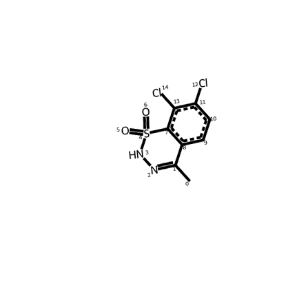 CC1=NNS(=O)(=O)c2c1ccc(Cl)c2Cl